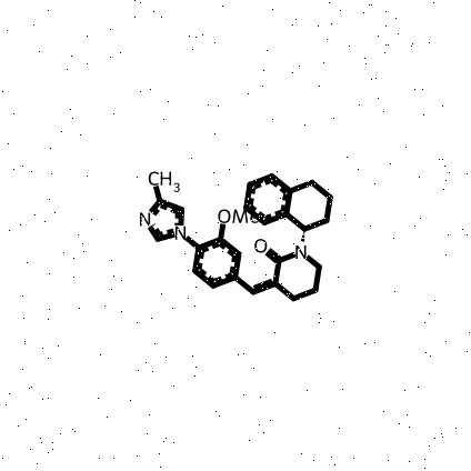 COc1cc(C=C2CCCN([C@H]3CCCc4ccccc43)C2=O)ccc1-n1cnc(C)c1